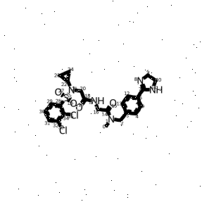 CN(Cc1ccc(C2=NCCN2)cc1)C(=O)CNC(=O)CN(C1CC1)S(=O)(=O)c1cccc(Cl)c1Cl